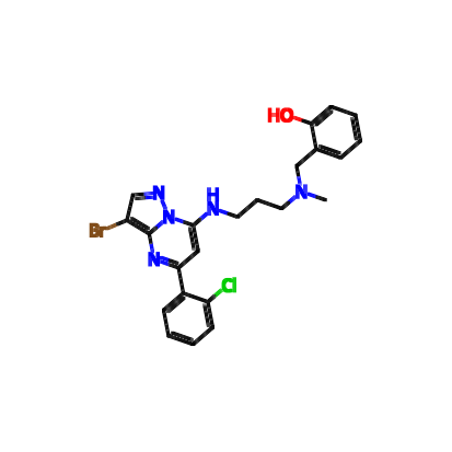 CN(CCCNc1cc(-c2ccccc2Cl)nc2c(Br)cnn12)Cc1ccccc1O